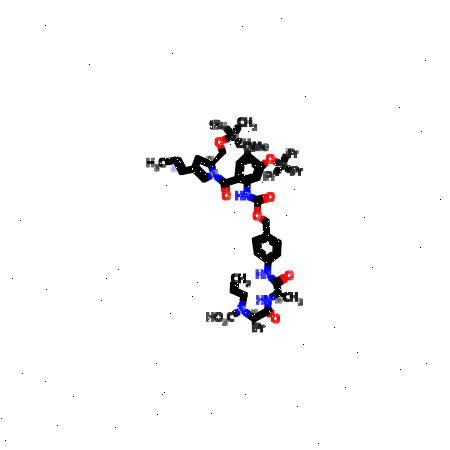 C=CCN(C(=O)O)[C@H](C(=O)N[C@@H](C)C(=O)Nc1ccc(COC(=O)Nc2cc(O[Si](C(C)C)(C(C)C)C(C)C)c(OC)cc2C(=O)N2C=C(/C=C/C)C[C@H]2CO[Si](C)(C)C(C)(C)C)cc1)C(C)C